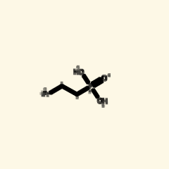 C[C](C)CCP(=O)(O)O